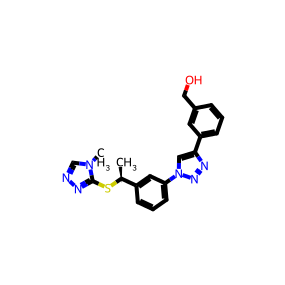 C[C@H](Sc1nncn1C)c1cccc(-n2cc(-c3cccc(CO)c3)nn2)c1